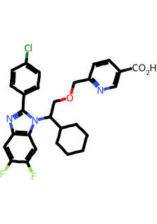 O=C(O)c1ccc(COCC(C2CCCCC2)n2c(-c3ccc(Cl)cc3)nc3cc(F)c(F)cc32)nc1